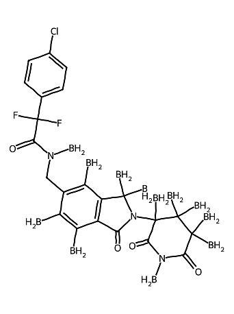 Bc1c(B)c2c(c(B)c1CN(B)C(=O)C(F)(F)c1ccc(Cl)cc1)C(B)(B)N(C1(B)C(=O)N(B)C(=O)C(B)(B)C1(B)B)C2=O